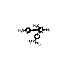 Cc1nc(N)nc(N2CCC(N(C)C)CC2)c1C#Cc1ccc(N)nc1